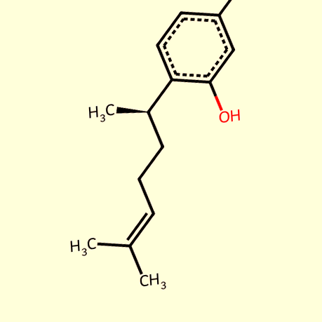 CC(C)=CCC[C@@H](C)c1ccc(C)cc1O